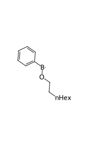 CCCCCCCCO[B]c1ccccc1